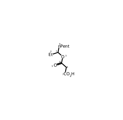 CCCCCC(CC)OC(=O)CC(=O)O